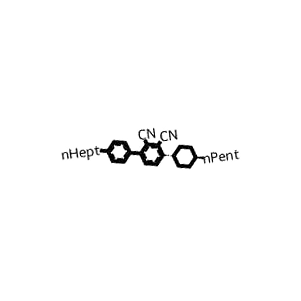 CCCCCCCc1ccc(-c2ccc([C@H]3CC[C@H](CCCCC)CC3)c(C#N)c2C#N)cc1